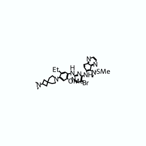 CCc1cc(Nc2ncc(Br)c(Nc3ccc4nccnc4c3N(C)SC)n2)c(OC)cc1N1CCC2(CC1)CC(N(C)C)C2